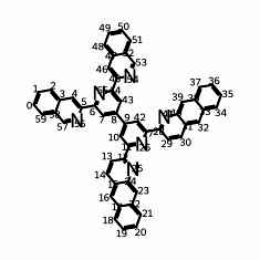 c1ccc2cc(-c3cc(-c4cc(-c5ccc6cc7ccccc7cc6n5)nc(-c5ccc6cc7ccccc7cc6n5)c4)cc(-c4cc5ccccc5cn4)n3)ncc2c1